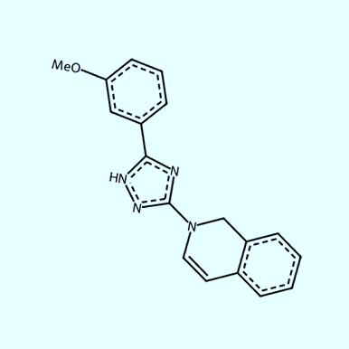 COc1cccc(-c2nc(N3C=Cc4ccccc4C3)n[nH]2)c1